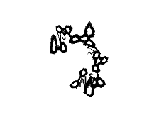 c1cc(-c2ccc3c(c2)c2ccccc2c2cc4c(cc32)sc2cc3c5ccc(-c6cccc7c6sc6c(-n8c9ccccc9c9ccccc98)cccc67)cc5c5ccccc5c3cc24)c2sc3c(-n4c5ccccc5c5ccccc54)cccc3c2c1